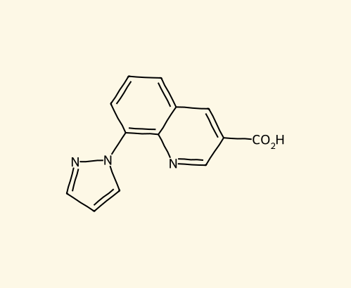 O=C(O)c1cnc2c(-n3cccn3)cccc2c1